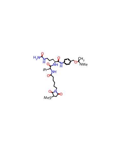 C=C(NC)OCc1ccc(NC(=O)[C@H](CCCNC(N)=O)NC(=O)C(NC(=O)CCCCCN2C(=O)CC(SC)C2=O)C(C)C)cc1